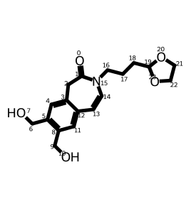 O=C1Cc2cc(CO)c(CO)cc2C=CN1CCCC1OCCO1